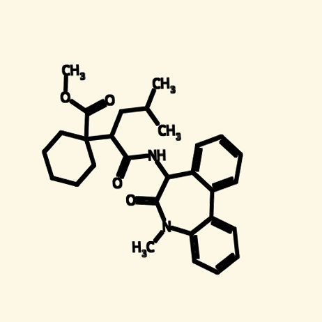 COC(=O)C1(C(CC(C)C)C(=O)NC2C(=O)N(C)c3ccccc3-c3ccccc32)CCCCC1